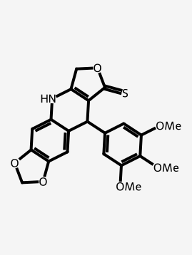 COc1cc(C2C3=C(COC3=S)Nc3cc4c(cc32)OCO4)cc(OC)c1OC